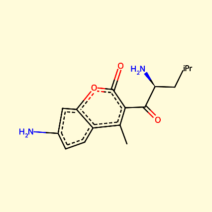 Cc1c(C(=O)[C@@H](N)CC(C)C)c(=O)oc2cc(N)ccc12